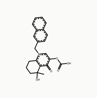 CC1(O)CCCc2c1c(=O)c(OC(=O)O)cn2Cc1ccc2ccccc2c1